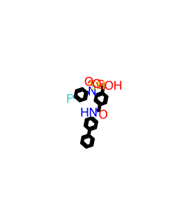 O=C(Nc1ccc(-c2ccccc2)cc1)c1ccc(C(=O)O)c(N(c2ccc(F)cc2)[SH](=O)=O)c1